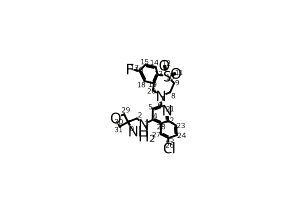 NC1(CNc2cc(N3CCS(=O)(=O)c4ccc(F)cc4C3)nc3ccc(Cl)cc23)COC1